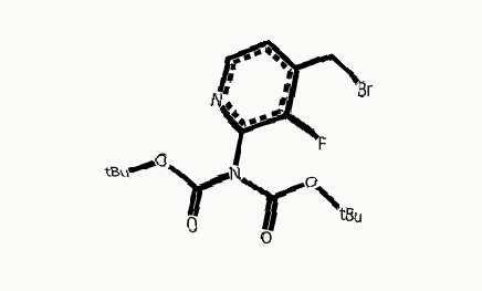 CC(C)(C)OC(=O)N(C(=O)OC(C)(C)C)c1nccc(CBr)c1F